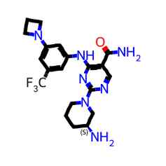 NC(=O)c1cnc(N2CCC[C@H](N)C2)nc1Nc1cc(N2CCC2)cc(C(F)(F)F)c1